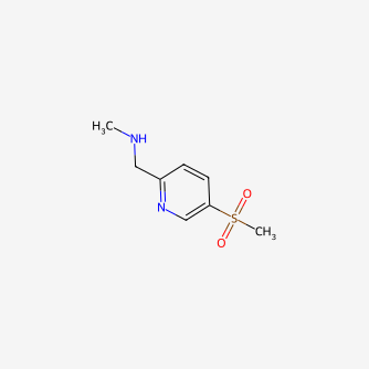 CNCc1ccc(S(C)(=O)=O)cn1